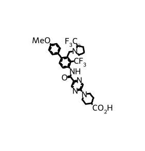 COc1ccc(-c2ccc(NC(=O)c3cnc(N4CCC(C(=O)O)CC4)cn3)c(C(F)(F)F)c2CN2CCC[C@H]2C(F)(F)F)cc1